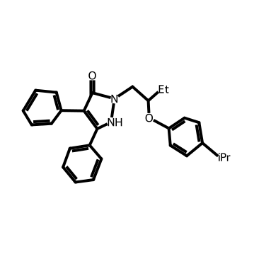 CCC(Cn1[nH]c(-c2ccccc2)c(-c2ccccc2)c1=O)Oc1ccc(C(C)C)cc1